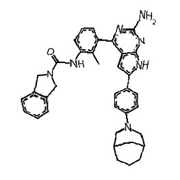 Cc1c(NC(=O)N2Cc3ccccc3C2)cccc1-c1nc(N)nc2[nH]c(-c3ccc(N4CC5CCCC(CC5)C4)cc3)cc12